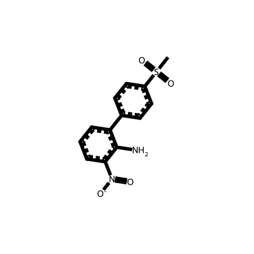 CS(=O)(=O)c1ccc(-c2cccc([N+](=O)[O-])c2N)cc1